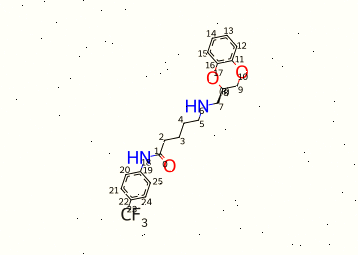 O=C(CCCCNC[C@@H]1COc2ccccc2O1)Nc1ccc(C(F)(F)F)cc1